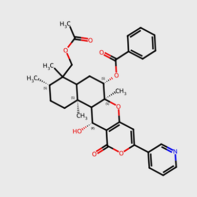 CC(=O)OCC1(C)C2C[C@H](OC(=O)c3ccccc3)[C@@]3(C)Oc4cc(-c5cccnc5)oc(=O)c4[C@H](O)C3[C@@]2(C)CC[C@@H]1C